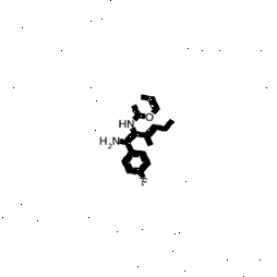 C/C=C\OC(C)NC(=C(\N)c1ccc(F)cc1)/C(C)=C/CC